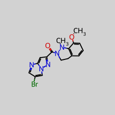 COc1cccc2c1N(C)N(C(=O)c1cc3ncc(Br)cn3n1)CC2